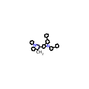 C=C1/C=C(c2ccc3c(c2)c2cc(-c4ccccc4)ccc2n3-c2cccc(-c3ccccc3)c2)\C=C/N(c2ccccc2)c2ccccc21